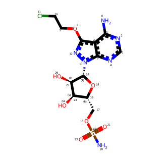 Nc1ncnc2c1c(OCCCl)nn2[C@@H]1O[C@H](COS(N)(=O)=O)[C@@H](O)[C@H]1O